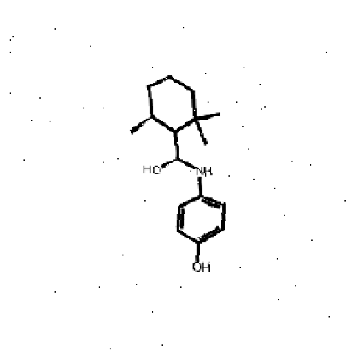 C[C@H]1CCCC(C)(C)C1[C@H](O)Nc1ccc(O)cc1